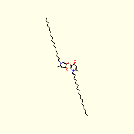 CCCCCCCCCCCCCCCCC=Cn1cc(Oc2cn(C=CCCCCCCCCCCCCCCCC)c(C)cc2=O)c(=O)cc1C